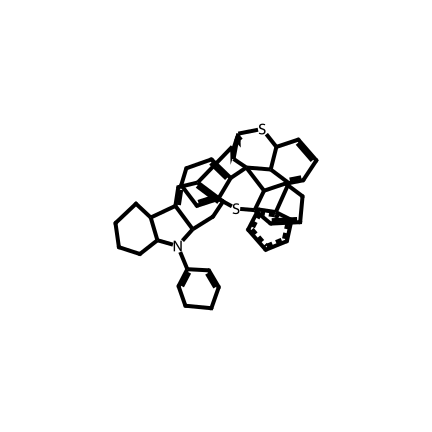 C1=CC2SC3C=CCC(C4=CCC5C(=C4)C4CCCCC4N5C4=CCCC=C4)C3C3(C4=CCCC=C4SC4C=CCCC43)C2C(c2ccccc2)=C1